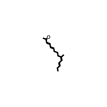 CCC=CC=C(C)CCCC=CC=CC(C)=O